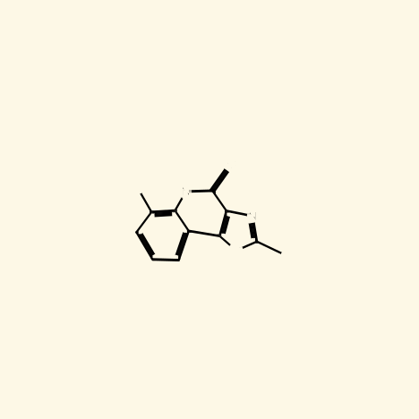 Cc1nc2c(=O)[nH]c3c(C)cccc3c2o1